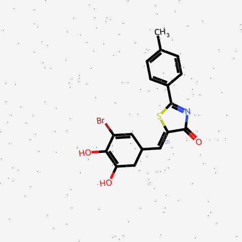 Cc1ccc(C2=NC(=O)/C(=C/C3C=C(Br)C(O)=C(O)C3)S2)cc1